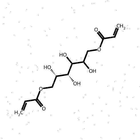 C=CC(=O)OCC(O)C(O)[C@H](O)[C@@H](O)COC(=O)C=C